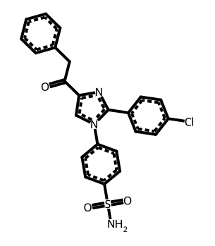 NS(=O)(=O)c1ccc(-n2cc(C(=O)Cc3ccccc3)nc2-c2ccc(Cl)cc2)cc1